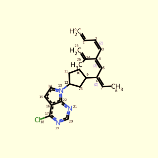 C=C\C=C/C(=C/C(=C\C)C1CCC(n2ccc3c(Cl)ncnc32)C1)C(=C)C